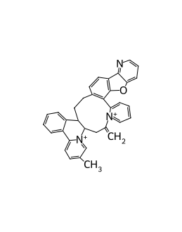 C=C1CC2C(CCc3ccc4c(oc5cccnc54)c3-c3cccc[n+]31)c1ccccc1-c1ccc(C)c[n+]12